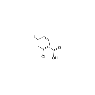 O=C(O)C1=C(Cl)CC(I)C=C1